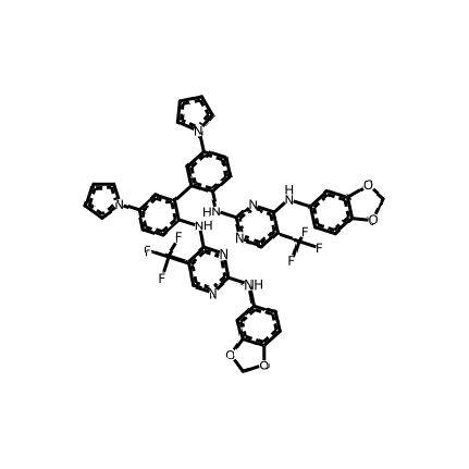 FC(F)(F)c1cnc(Nc2ccc(-n3cccc3)cc2-c2cc(-n3cccc3)ccc2Nc2nc(Nc3ccc4c(c3)OCO4)ncc2C(F)(F)F)nc1Nc1ccc2c(c1)OCO2